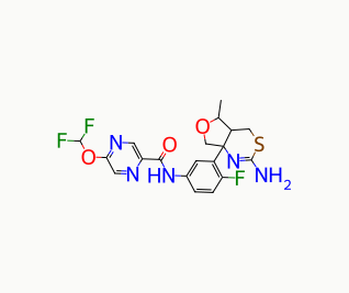 CC1OCC2(c3cc(NC(=O)c4cnc(OC(F)F)cn4)ccc3F)N=C(N)SCC12